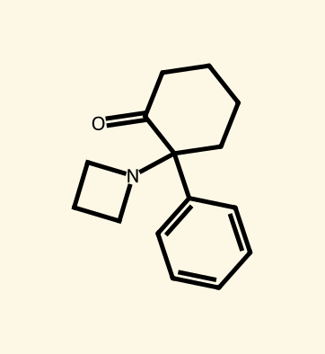 O=C1CCCCC1(c1ccccc1)N1CCC1